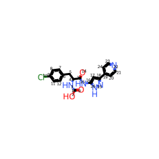 O=C(O)NC(Cc1ccc(Cl)cc1)C(=O)Nc1cc(-c2ccncc2)n[nH]1